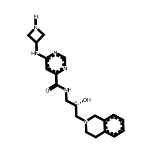 CCN1CC(Nc2cc(C(=O)NC[C@H](O)CN3CCc4ccccc4C3)ncn2)C1